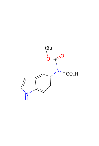 CC(C)(C)OC(=O)N(C(=O)O)c1ccc2[nH]ccc2c1